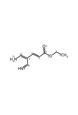 CCOC(=O)/C=C/C(C=N)=C/N